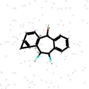 FC1c2ccccc2C(Br)c2ccc3c(c2C1F)C3